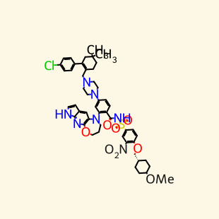 CO[C@H]1CC[C@H](COc2ccc(S(=O)(=O)NC(=O)c3ccc(N4CCN(CC5=C(c6ccc(Cl)cc6)CC(C)(C)CC5)CC4)cc3N3CCCOc4nc5[nH]ccc5cc43)cc2[N+](=O)[O-])CC1